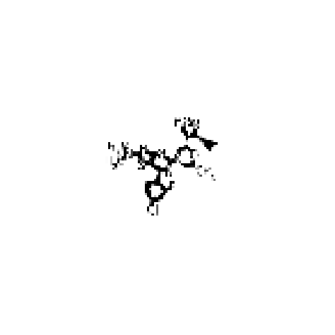 C[C@@H]1CN(c2nc(-c3ccc(Cl)cc3F)c3sc(N(C)C)nc3n2)C[C@H](c2c[nH]nc2C2CC2)O1